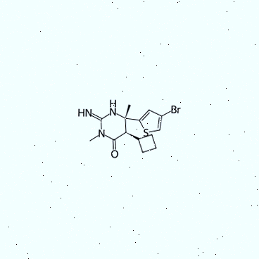 CN1C(=N)N[C@](C)(c2cc(Br)cs2)[C@@H](C2CCC2)C1=O